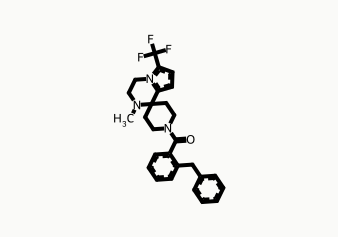 CN1CCn2c(C(F)(F)F)ccc2C12CCN(C(=O)c1ccccc1Cc1ccccc1)CC2